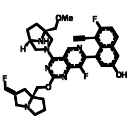 C#Cc1c(F)ccc2cc(O)cc(-c3ncc4c(N5C[C@@H]6CC[C@](COC)(C5)N6)nc(OC[C@@]56CCCN5C/C(=C/F)C6)nc4c3F)c12